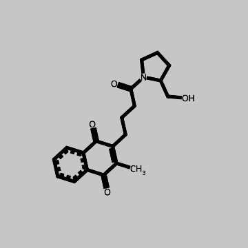 CC1=C(CCCC(=O)N2CCCC2CO)C(=O)c2ccccc2C1=O